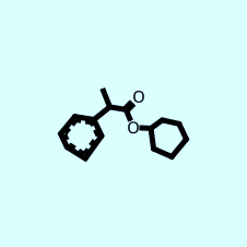 CC(C(=O)OC1CCCCC1)c1ccccc1